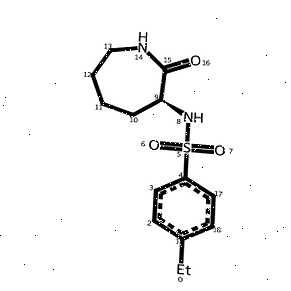 CCc1ccc(S(=O)(=O)N[C@H]2CCCCNC2=O)cc1